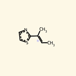 C/C=C(\C)c1nccs1